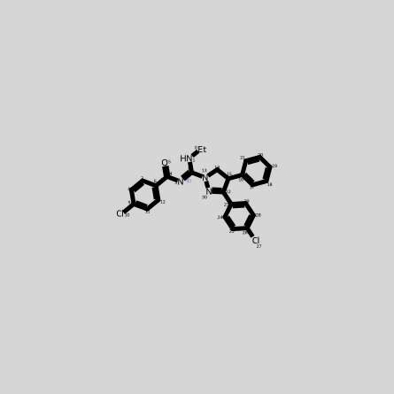 CCN/C(=N\C(=O)c1ccc(Cl)cc1)N1CC(c2ccccc2)C(c2ccc(Cl)cc2)=N1